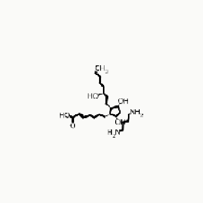 CCCCC[C@H](O)CC[C@@H]1[C@@H](CCCCC=CC(=O)O)[C@@H](O)C[C@H]1O.NCCCCN